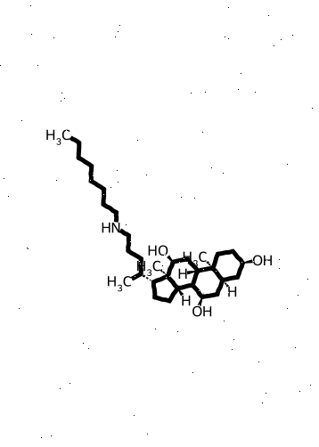 CCCCCCCCNCCCC(C)[C@H]1CC[C@H]2C3[C@H](O)C[C@@H]4C[C@H](O)CC[C@]4(C)[C@H]3C[C@H](O)[C@]12C